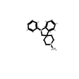 CN1CCC2(CC1)CN(c1ccccc1)c1ccccc12